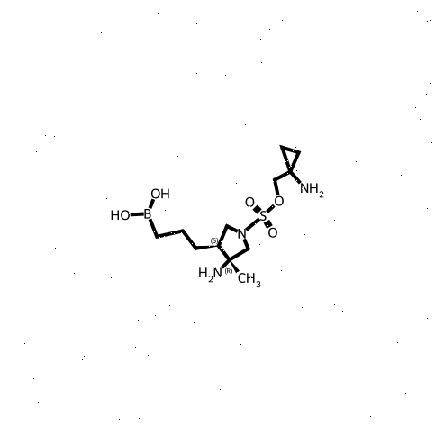 C[C@]1(N)CN(S(=O)(=O)OCC2(N)CC2)C[C@@H]1CCCB(O)O